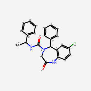 CC(NC(=O)N1CC(=O)Nc2ccc(Cl)cc2C1c1ccccc1)c1ccccc1